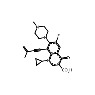 C=C(C)C#Cc1c(N2CCN(C)CC2)c(F)cc2c(=O)c(C(=O)O)cn(C3CC3)c12